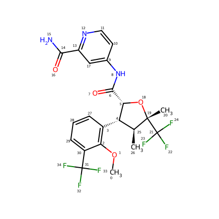 COc1c([C@@H]2[C@H](C(=O)Nc3ccnc(C(N)=O)c3)O[C@](C)(C(F)(F)F)[C@H]2C)cccc1C(F)(F)F